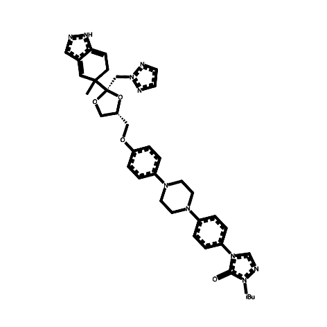 CCC(C)n1ncn(-c2ccc(N3CCN(c4ccc(OC[C@@H]5CO[C@@](Cn6nccn6)(C6(C)C=c7cn[nH]c7=CC6)O5)cc4)CC3)cc2)c1=O